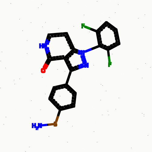 NSc1ccc(-c2nn(-c3c(F)cccc3F)c3cc[nH]c(=O)c23)cc1